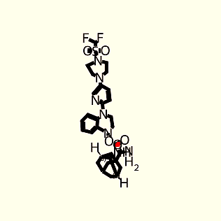 NC(=O)C12CC3C[C@H](C1)C(NC(=O)ON1CCN(c4ccc(N5CCN(S(=O)(=O)C(F)F)CC5)cn4)c4ccccc41)[C@@H](C3)C2